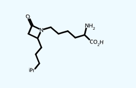 CC(C)CCCC1CC(=O)N1CCCCC(N)C(=O)O